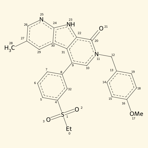 CCS(=O)(=O)c1cccc(-c2cn(Cc3ccc(OC)cc3)c(=O)c3[nH]c4ncc(C)cc4c23)c1